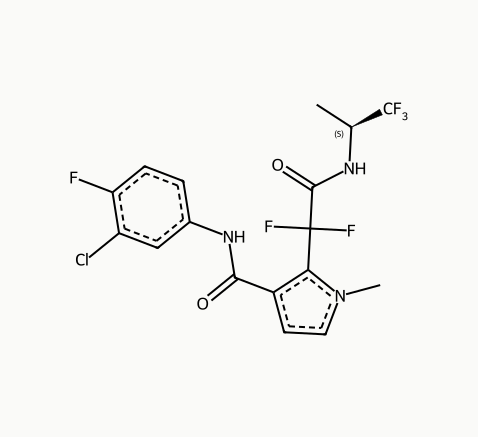 C[C@H](NC(=O)C(F)(F)c1c(C(=O)Nc2ccc(F)c(Cl)c2)ccn1C)C(F)(F)F